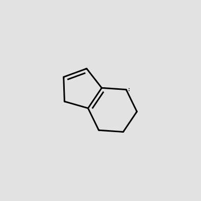 [C]1CCCC2=C1C=CC2